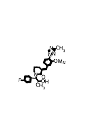 COc1cc(C=C2CCCN([C@H](c3ccc(F)cc3)[C@@H](C)O)C2=O)ccc1-n1cnc(C)n1